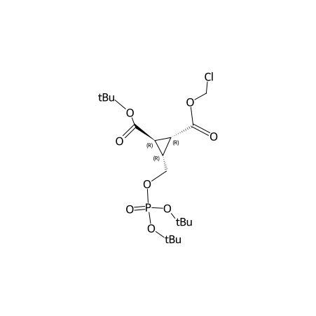 CC(C)(C)OC(=O)[C@@H]1[C@@H](COP(=O)(OC(C)(C)C)OC(C)(C)C)[C@H]1C(=O)OCCl